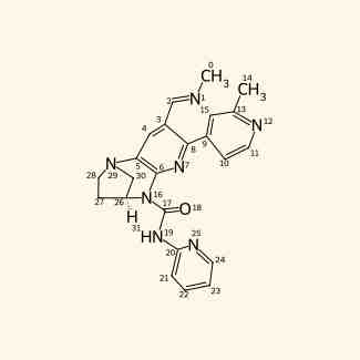 C/N=C/c1cc2c(nc1-c1ccnc(C)c1)N(C(=O)Nc1ccccn1)[C@H]1CCN2C1